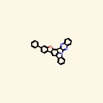 c1ccc(-c2ccc3c(c2)oc2c3cc3c4ccccc4n4c5nc6ccccc6nc5c2c34)cc1